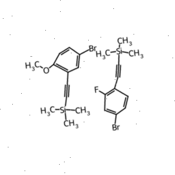 COc1ccc(Br)cc1C#C[Si](C)(C)C.C[Si](C)(C)C#Cc1ccc(Br)cc1F